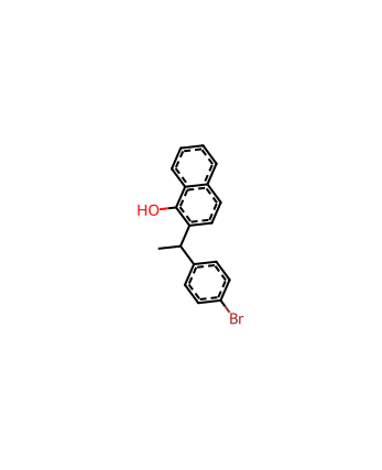 CC(c1ccc(Br)cc1)c1ccc2ccccc2c1O